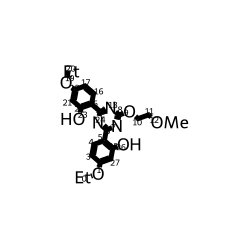 CCOc1ccc(-c2nc(OCCOC)nc(-c3ccc(OCC)cc3O)n2)c(O)c1